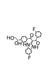 O=C(/C(C(=O)c1cccc(F)c1)=C1\Nc2ccc(F)cc2N1)c1ccc(C(O)CO)cc1